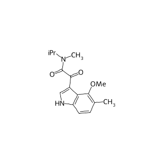 COc1c(C)ccc2[nH]cc(C(=O)C(=O)N(C)C(C)C)c12